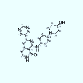 O=c1[nH]ccc2cc(-c3cncnc3)nc(Nc3ccc(N4CCC(O)CC4)cc3)c12